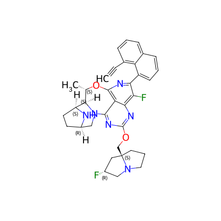 C#Cc1cccc2cccc(-c3nc4c5c(nc(OC[C@@]67CCCN6C[C@H](F)C7)nc5c3F)N3C[C@H]5CC[C@H](N5)[C@H]3[C@H](C)O4)c12